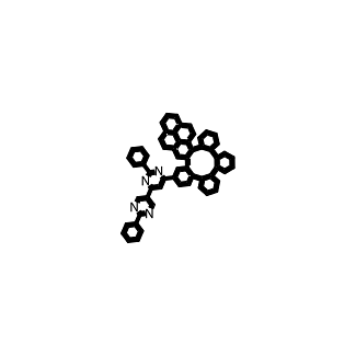 c1ccc(-c2ncc(-c3cc(-c4ccc5c6ccccc6c6ccccc6c6ccccc6c6c(cc7ccc8cccc9ccc6c7c89)c5c4)nc(-c4ccccc4)n3)cn2)cc1